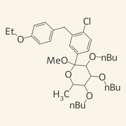 CCCCOC1C(C)OC(OC)(c2ccc(Cl)c(Cc3ccc(OCC)cc3)c2)C(OCCCC)C1OCCCC